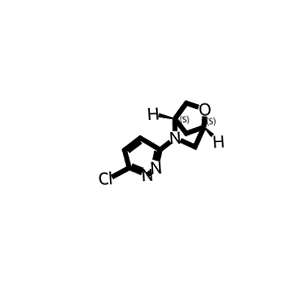 Clc1ccc(N2C[C@@H]3C[C@H]2CO3)nn1